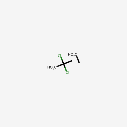 CC(=O)O.CC(Cl)(Cl)C(=O)O